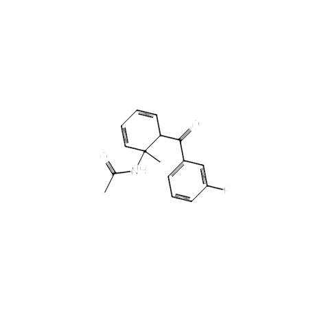 CC(=O)NC1(C)C=CC=CC1C(=O)c1cccc(F)c1